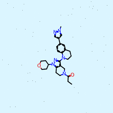 CCC(=O)N1CCc2c(c(N3CCCc4cc(-c5cnn(C)c5)ccc43)nn2C2CCOCC2)C1